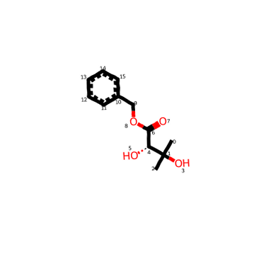 CC(C)(O)[C@H](O)C(=O)OCc1ccccc1